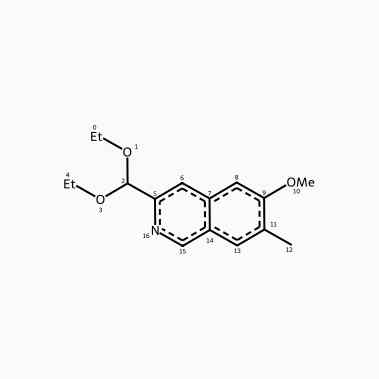 CCOC(OCC)c1cc2cc(OC)c(C)cc2cn1